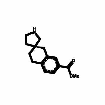 COC(=O)c1ccc2c(c1)C[C@]1(CCNC1)CC2